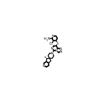 C[C@@H]1c2cnccc2CC12CCN(c1ncc(Sc3ccnc(N)c3Cl)c3nncn13)CC2